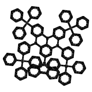 c1ccc([Si](c2ccccc2)(c2ccccc2)c2cccc(N3c4cc([Si](c5ccccc5)(c5ccccc5)c5ccccc5)ccc4B4c5ccc([Si](c6ccccc6)(c6ccccc6)c6ccccc6)cc5N(c5cccc([Si](c6ccccc6)(c6ccccc6)c6ccccc6)c5)c5cc(-n6c7ccccc7c7ccccc76)cc3c54)c2)cc1